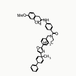 COc1ccc(CC(=O)Nc2ccc(C(=O)N(CC(=O)O)Cc3ccc(-c4nc(C5(C)C=CC(c6ccccc6)C=C5)co4)cc3)cc2)c(C(F)(F)F)c1